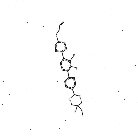 C=CCCc1ccc(-c2ccc(-c3ccc(C4OCC(F)(CC)CO4)cc3)c(F)c2F)cc1